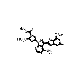 COc1cc(C)cc2cc(-c3nn(C4CC(C(=O)O)N(C(=O)OC(C)(C)C)C4)c4ncnc(N)c34)sc12